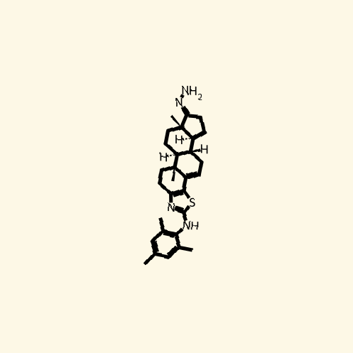 Cc1cc(C)c(Nc2nc3c(s2)C2=CC[C@@H]4[C@H](CC[C@]5(C)/C(=N/N)CC[C@@H]45)[C@@]2(C)CC3)c(C)c1